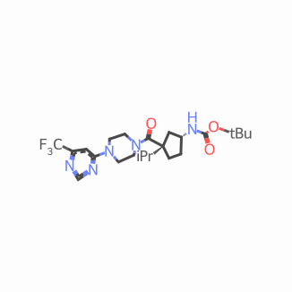 CC(C)[C@]1(C(=O)N2CCN(c3cc(C(F)(F)F)ncn3)CC2)CC[C@@H](NC(=O)OC(C)(C)C)C1